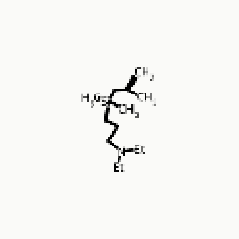 C=C(C)C[Si](C)(C)CCCN(CC)CC